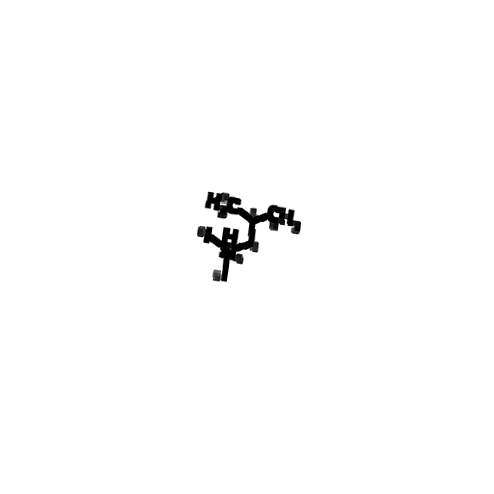 CC(C)C[SiH](I)I